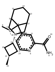 COC1(c2ccnc(C(N)=O)c2)C2CCCC1CN([C@H]1C[C@H](C)C1)C2